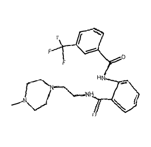 CN1CCN(CCNC(=O)c2ccccc2NC(=O)c2cccc(C(F)(F)F)c2)CC1